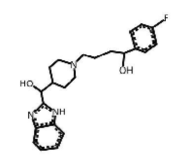 OC(CCCN1CCC(C(O)c2nc3ccccc3[nH]2)CC1)c1ccc(F)cc1